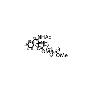 COC(=O)C(=O)CCCC(NC(=O)C(Cc1ccccc1)NC(C)=O)C(=O)OC